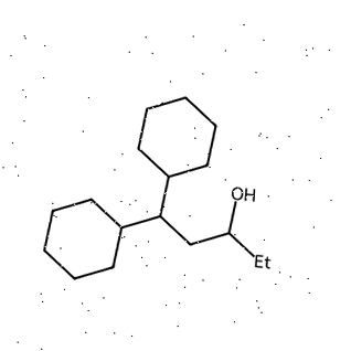 CCC(O)CC(C1CCCCC1)C1CCCCC1